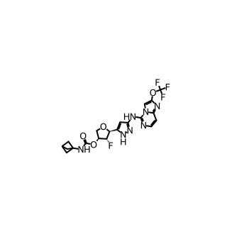 O=C(NC12CC(C1)C2)O[C@H]1CO[C@@H](c2cc(Nc3nccc4nc(OC(F)(F)F)cn34)n[nH]2)[C@@H]1F